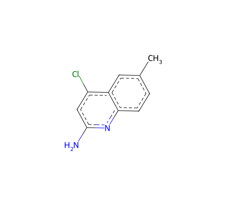 Cc1ccc2nc(N)cc(Cl)c2c1